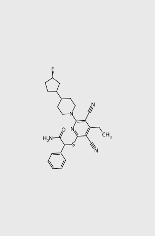 CCc1c(C#N)c(SC(C(N)=O)c2ccccc2)nc(N2CCC(C3CC[C@@H](F)C3)CC2)c1C#N